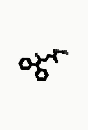 NNC(=O)CCC(Cl)=C(c1ccccc1)c1ccccc1